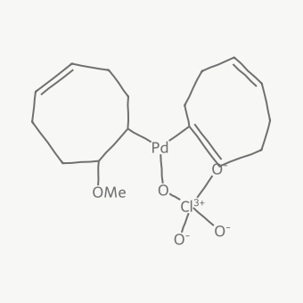 COC1CCC=CCC[CH]1[Pd]([O][Cl+3]([O-])([O-])[O-])[C]1=CCCC=CCC1